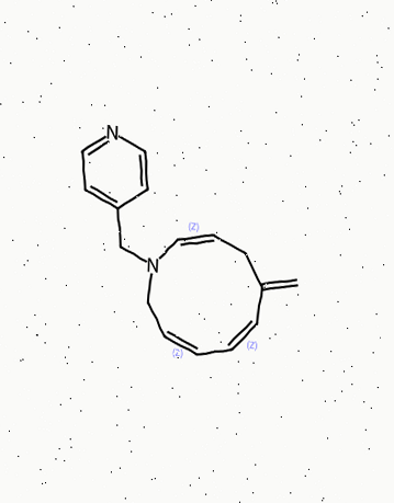 C=C1/C=C\C=C/CN(Cc2ccncc2)/C=C\C1